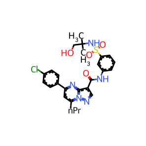 CCCc1cc(-c2ccc(Cl)cc2)nc2c(C(=O)Nc3cccc(S(=O)(=O)NC(C)(C)CO)c3)cnn12